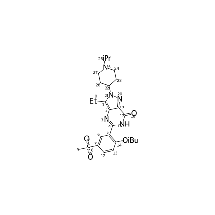 CCc1c2nc(-c3cc(S(C)(=O)=O)ccc3OCC(C)C)[nH]c(=O)c2nn1C1CCN(C(C)C)CC1